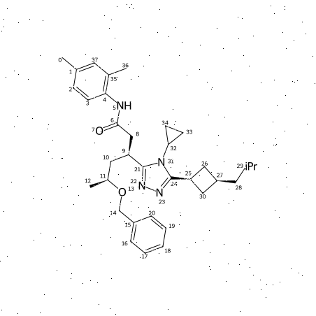 Cc1ccc(NC(=O)C[C@H](C[C@H](C)OCc2ccccc2)c2nnc([C@H]3C[C@@H](CC(C)C)C3)n2C2CC2)c(C)c1